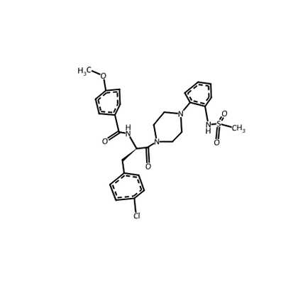 COc1ccc(C(=O)N[C@H](Cc2ccc(Cl)cc2)C(=O)N2CCN(c3ccccc3NS(C)(=O)=O)CC2)cc1